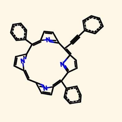 C(#Cc1ccccc1)C1=C2C=CC(=N2)C(c2ccccc2)=C2C=CC(=N2)C=C2C=CC(=N2)C(c2ccccc2)=C2C=CC1=N2